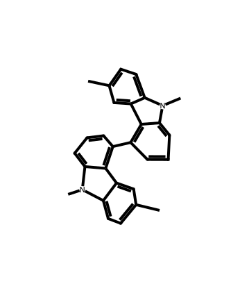 Cc1ccc2c(c1)c1c(-c3cccc4c3c3cc(C)ccc3n4C)cccc1n2C